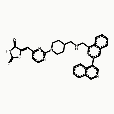 O=C1NC(=O)/C(=C/c2ccnc(N3CCC(CNCc4nc(-c5cncc6ccccc56)cc5ccccc45)CC3)n2)S1